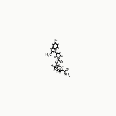 Cc1nc2cc(F)ccc2n1C1CCN(C(=O)OC2C3CC4C[C@H]2CC(C(N)=O)(C4)C3)C1